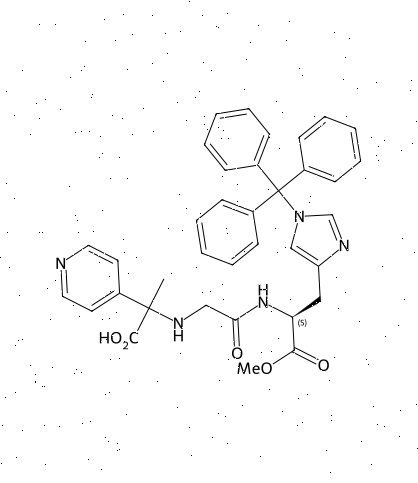 COC(=O)[C@H](Cc1cn(C(c2ccccc2)(c2ccccc2)c2ccccc2)cn1)NC(=O)CNC(C)(C(=O)O)c1ccncc1